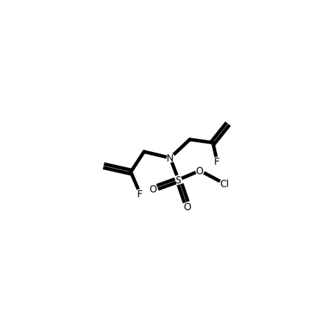 C=C(F)CN(CC(=C)F)S(=O)(=O)OCl